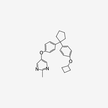 Cc1ncc(Oc2ccc(C3(c4ccc(OC5CCC5)cc4)CCCC3)cc2)cn1